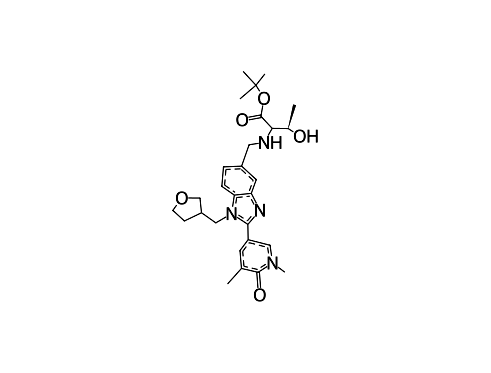 Cc1cc(-c2nc3cc(CNC(C(=O)OC(C)(C)C)[C@@H](C)O)ccc3n2CC2CCOC2)cn(C)c1=O